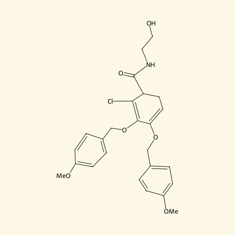 COc1ccc(COC2=CCC(C(=O)NCCO)C(Cl)=C2OCc2ccc(OC)cc2)cc1